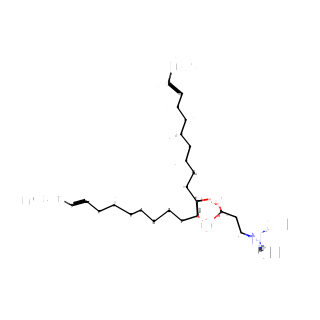 CCCCCCCC/C=C/CCCCCCCC1OC(CCN(C)C)OC1CCCCCCC/C=C/CCCCCCCC